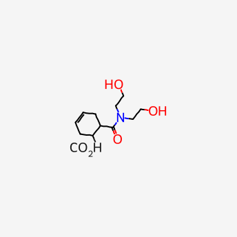 O=C(O)C1CC=CCC1C(=O)N(CCO)CCO